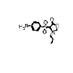 CCC[C@H]1COC(=O)C1S(=O)(=O)c1ccc(N)cc1